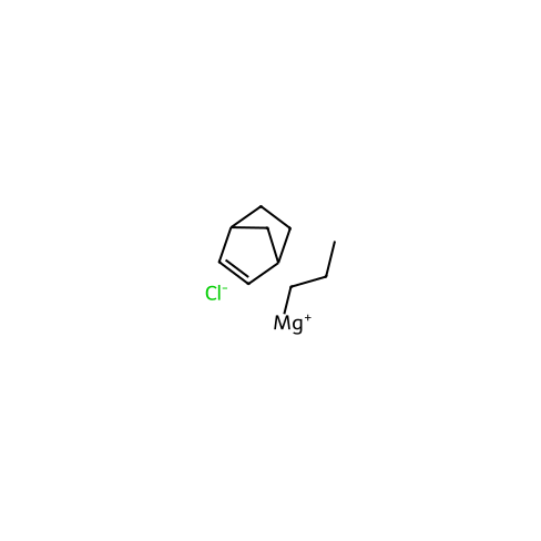 C1=CC2CCC1C2.CC[CH2][Mg+].[Cl-]